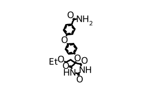 CCOCCC1(Oc2ccc(Oc3ccc(C(N)=O)cc3)cc2)C(=O)NC(=O)NC1=O